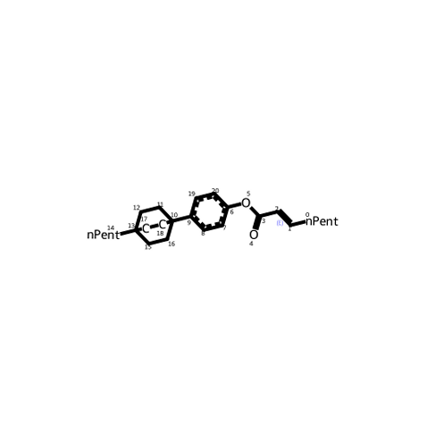 CCCCC/C=C/C(=O)Oc1ccc(C23CCC(CCCCC)(CC2)CC3)cc1